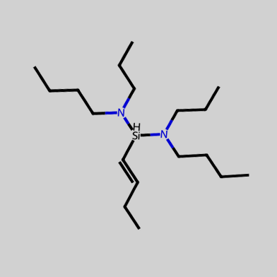 CCC=C[SiH](N(CCC)CCCC)N(CCC)CCCC